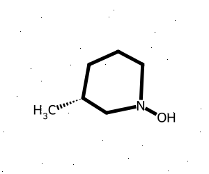 C[C@@H]1CCCN(O)C1